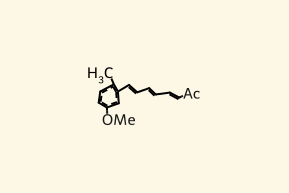 COc1ccc(C)c(/C=C/C=C/C=C/C(C)=O)c1